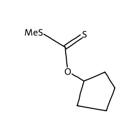 [CH2]SC(=S)OC1CCCC1